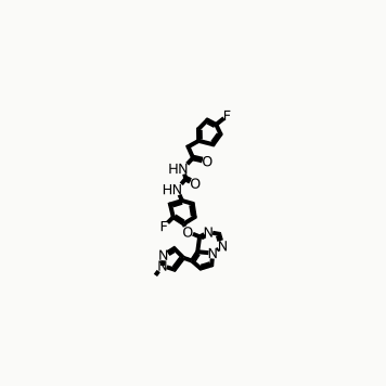 Cn1cc(-c2ccn3ncnc(Oc4ccc(NC(=O)NC(=O)Cc5ccc(F)cc5)cc4F)c23)cn1